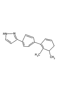 CC1=C(c2ccc(-c3cc[nH]n3)cc2)C=CCC1C